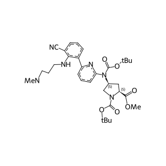 CNCCCNc1c(C#N)cccc1-c1cccc(N(C(=O)OC(C)(C)C)[C@H]2C[C@@H](C(=O)OC)N(C(=O)OC(C)(C)C)C2)n1